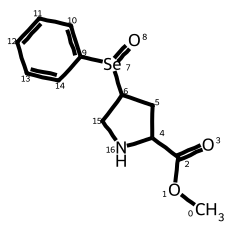 COC(=O)C1CC([Se](=O)c2ccccc2)CN1